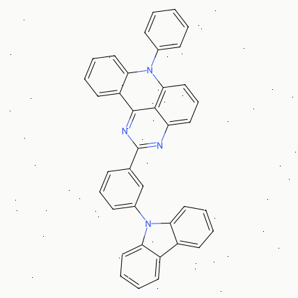 c1ccc(N2c3ccccc3-c3nc(-c4cccc(-n5c6ccccc6c6ccccc65)c4)nc4cccc2c34)cc1